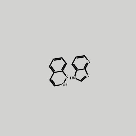 C1=Cc2ccccc2SN1.c1cnc2nc[nH]c2c1